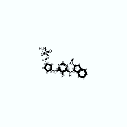 CO[C@H]1Cc2ccccc2[C@H]1Nc1ncnc(O[C@H]2CC[C@H](COS(N)(=O)=O)C2)c1F